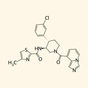 Cc1csc(C(=O)N[C@@H]2CN(C(=O)c3cccn4cncc34)CC[C@H]2c2cccc(Cl)c2)n1